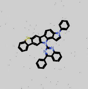 c1ccc(-c2nc(-n3c4cc5c(cc4c4ccc6c(ccn6-c6ccccc6)c43)sc3ccccc35)nc3ccccc23)cc1